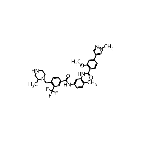 COc1cc(-c2cnn(C)c2)ccc1C(=O)Nc1cc(NC(=O)c2ccc(CN3CCNCC3C)c(C(F)(F)F)c2)ccc1C